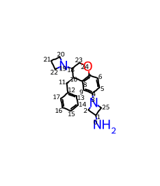 NC1CN(c2ccc3c(c2)[C@@H](Cc2ccccc2)[C@@H](N2CCC2)CO3)C1